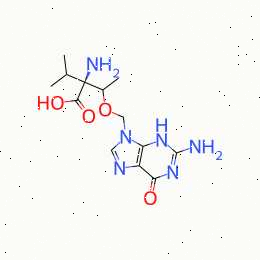 CC(C)[C@@](N)(C(=O)O)C(C)OCn1cnc2c(=O)nc(N)[nH]c21